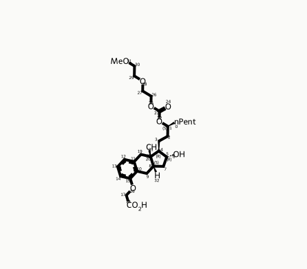 CCCCC[C@@H](CC[C@H]1[C@H](O)C[C@@H]2Cc3c(cccc3OCC(=O)O)C[C@@]21C)OC(=O)OCCOCCOC